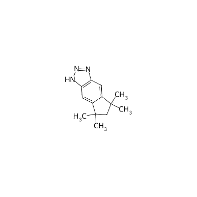 CC1(C)CC(C)(C)c2cc3[nH]nnc3cc21